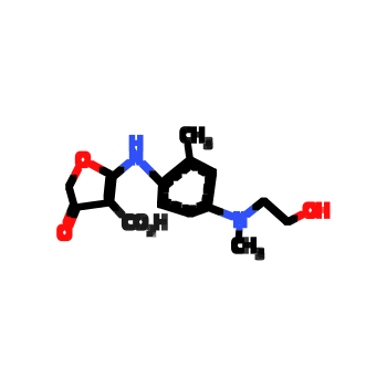 Cc1cc(N(C)CCO)ccc1NC1=C(C(=O)O)C(=O)CO1